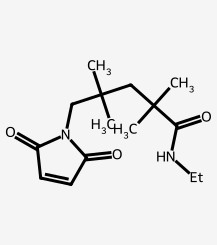 CCNC(=O)C(C)(C)CC(C)(C)CN1C(=O)C=CC1=O